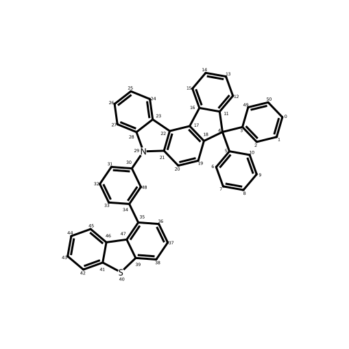 c1ccc(C2(c3ccccc3)c3ccccc3-c3c2ccc2c3c3ccccc3n2-c2cccc(-c3cccc4sc5ccccc5c34)c2)cc1